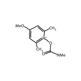 CNC(=O)O[n+]1c(C)cc(OC)cc1C